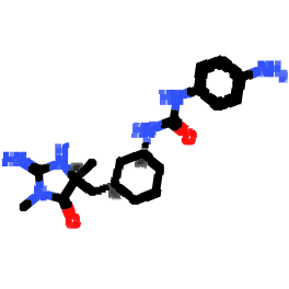 CN1C(=N)N[C@](C)(C[C@H]2CCC[C@@H](NC(=O)Nc3ccc(N)cc3)C2)C1=O